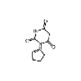 C1=CCCC1.O=C1CC(=O)NC(=O)N1